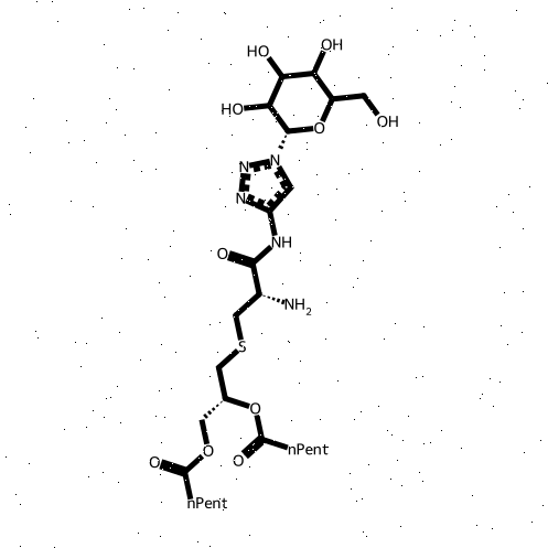 CCCCCC(=O)OC[C@H](CSC[C@@H](N)C(=O)Nc1cn([C@H]2OC(CO)C(O)C(O)C2O)nn1)OC(=O)CCCCC